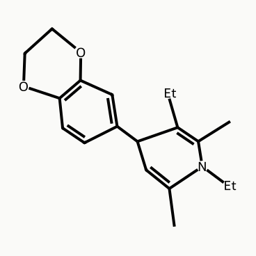 CCC1=C(C)N(CC)C(C)=CC1c1ccc2c(c1)OCCO2